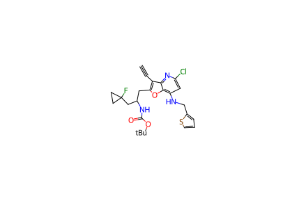 C#Cc1c(CC(CC2(F)CC2)NC(=O)OC(C)(C)C)oc2c(NCc3cccs3)cc(Cl)nc12